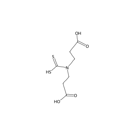 O=C(O)CCN(CCC(=O)O)C(=S)S